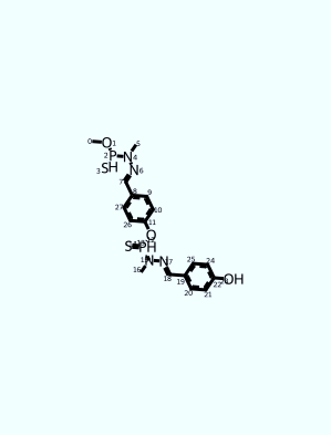 CO[PH](=S)N(C)/N=C/c1ccc(O[PH](=S)N(C)/N=C/c2ccc(O)cc2)cc1